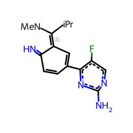 CN/C(=C1/C=C(c2nc(N)ncc2F)C=CC1=N)C(C)C